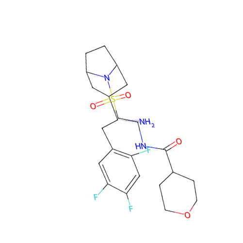 N[C@H](Cc1cc(F)c(F)cc1F)C1CC2CCC(C1)N2S(=O)(=O)CCNC(=O)C1CCOCC1